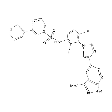 COc1n[nH]c2ncc(-c3cn(-c4c(F)ccc(NS(=O)(=O)c5cccc(-c6ccccc6)c5)c4F)nn3)cc12